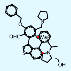 COc1c(CN2CCCC2)cc(OCc2ccccc2)c(C=O)c1-c1csc2cccc(-c3ccccc3C(C)N3CCC[C@H]3CO)c12